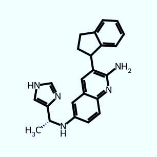 C[C@@H](Nc1ccc2nc(N)c(C3CCc4ccccc43)cc2c1)c1c[nH]cn1